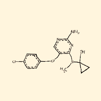 CN(c1nc(N)ncc1Oc1ccc(Cl)cc1)C1(O)CC1